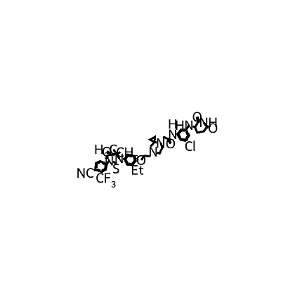 CCc1cc(N2C(=S)N(c3ccc(C#N)c(C(F)(F)F)c3)C(=O)C2(C)C)ccc1OCCN1CCN(CC(=O)Nc2cc(Cl)cc(NC3CCC(=O)NC3=O)c2)C2(CC2)C1